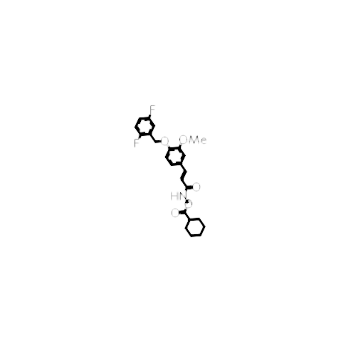 COc1cc(/C=C/C(=O)NOC(=O)C2CCCCC2)ccc1OCc1cc(F)ccc1F